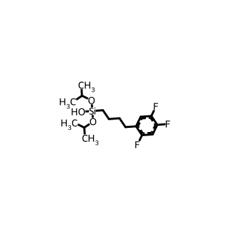 CC(C)O[Si](O)(CCCCc1cc(F)c(F)cc1F)OC(C)C